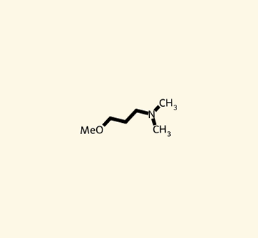 [C]OCCCN(C)C